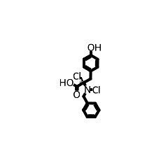 O=C(O)[C@](Cl)(Cc1ccc(O)cc1)N(Cl)Cc1ccccc1